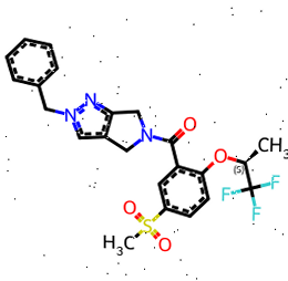 C[C@H](Oc1ccc(S(C)(=O)=O)cc1C(=O)N1Cc2cn(Cc3ccccc3)nc2C1)C(F)(F)F